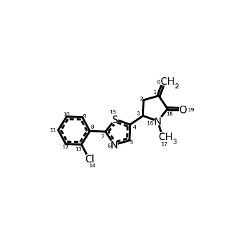 C=C1CC(c2cnc(-c3ccccc3Cl)s2)N(C)C1=O